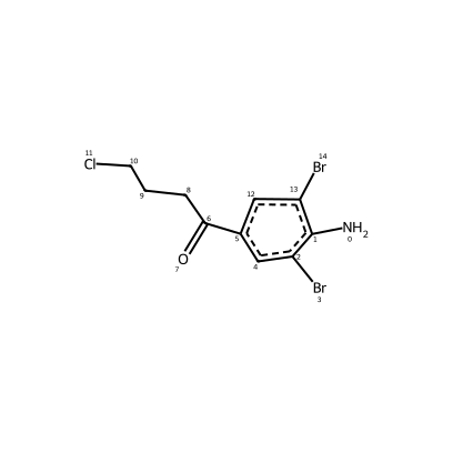 Nc1c(Br)cc(C(=O)CCCCl)cc1Br